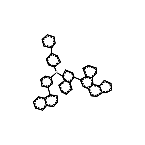 c1ccc(-c2ccc(N(c3cccc(-c4cccc5ccccc45)c3)c3ccc(-c4cc5ccc6ccccc6c5c5ccccc45)c4ccccc34)cc2)cc1